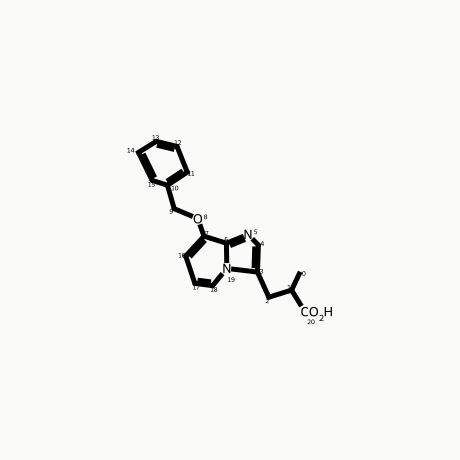 CC(Cc1cnc2c(OCc3ccccc3)cccn12)C(=O)O